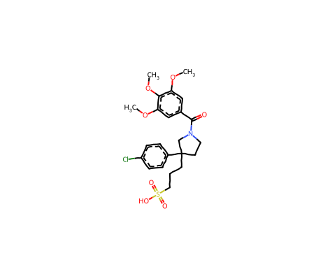 COc1cc(C(=O)N2CCC(CCCS(=O)(=O)O)(c3ccc(Cl)cc3)C2)cc(OC)c1OC